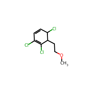 COCCC1C(Cl)=C(Cl)C=CC1Cl